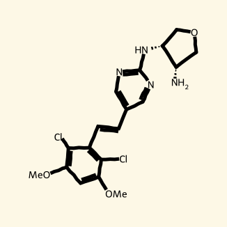 COc1cc(OC)c(Cl)c(/C=C/c2cnc(N[C@@H]3COC[C@@H]3N)nc2)c1Cl